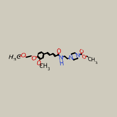 CCOC(=O)N1CCN(CCNC(=O)C=CC=Cc2ccc(OCCOC)c(OC)c2)CC1